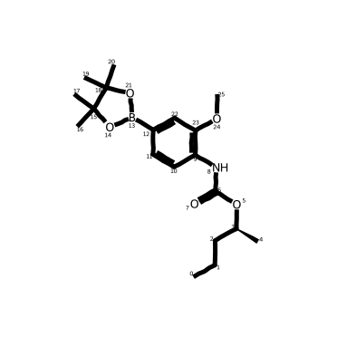 CCC[C@H](C)OC(=O)Nc1ccc(B2OC(C)(C)C(C)(C)O2)cc1OC